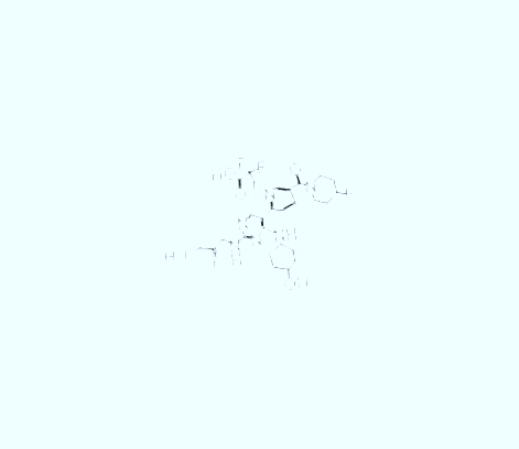 CC[C@H](F)CNc1ncc(-c2ccc(C(=O)N3CCC(F)CC3)cn2)c(NC2CCC(O)CC2)n1.O=C(O)C(F)(F)F